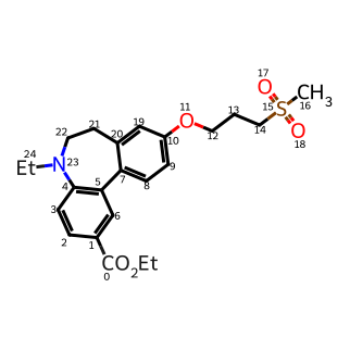 CCOC(=O)c1ccc2c(c1)-c1ccc(OCCCS(C)(=O)=O)cc1CCN2CC